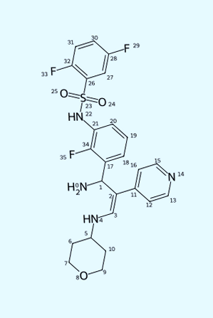 NC(/C(=C\NC1CCOCC1)c1ccncc1)c1cccc(NS(=O)(=O)c2cc(F)ccc2F)c1F